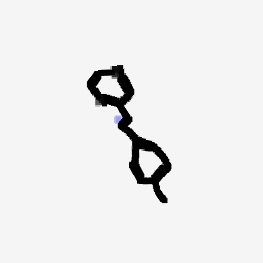 Cc1ccc(/C=C/c2cnccn2)cc1